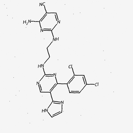 N#Cc1cnc(NCCNc2ncc(-c3ncc[nH]3)c(-c3ccc(Cl)cc3Cl)n2)nc1N